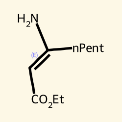 CCCCC/C(N)=C\C(=O)OCC